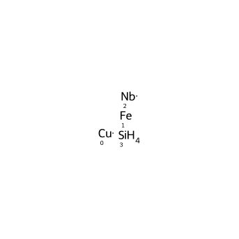 [Cu].[Fe].[Nb].[SiH4]